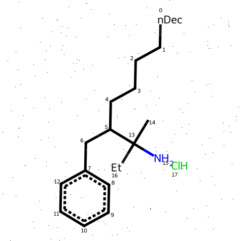 CCCCCCCCCCCCCCC(Cc1ccccc1)C(C)(N)CC.Cl